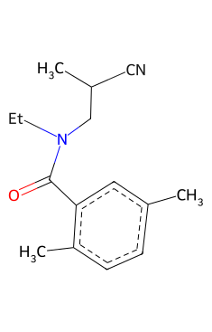 CCN(CC(C)C#N)C(=O)c1cc(C)ccc1C